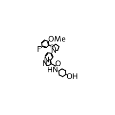 COc1ccc(F)cc1[C@H]1CCCN1c1ccn2ncc(C(=O)N[C@H]3CC[C@H](O)CC3)c2c1